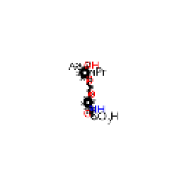 CCCc1c(OCCCOc2cccc(NC(=O)C(=O)O)c2)ccc(C(C)=O)c1O